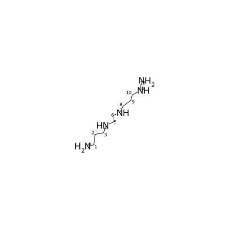 NCCCNCCNCCCNN